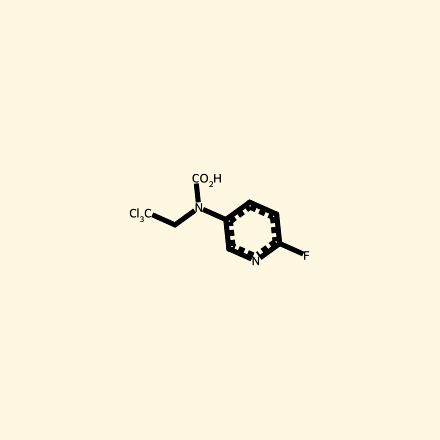 O=C(O)N(CC(Cl)(Cl)Cl)c1ccc(F)nc1